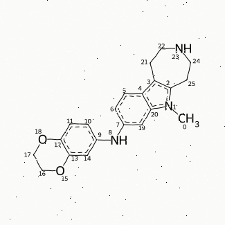 Cn1c2c(c3ccc(Nc4ccc5c(c4)OCCO5)cc31)CCNCC2